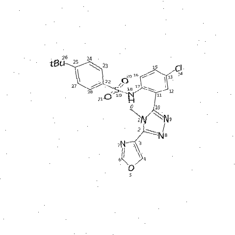 Cn1c(-c2cocn2)nnc1-c1cc(Cl)ccc1NS(=O)(=O)c1ccc(C(C)(C)C)cc1